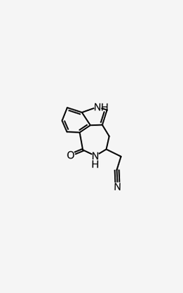 N#CCC1Cc2c[nH]c3cccc(c23)C(=O)N1